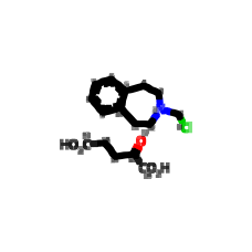 ClCN1CCc2ccccc2CC1.O=C(O)CCC(=O)C(=O)O